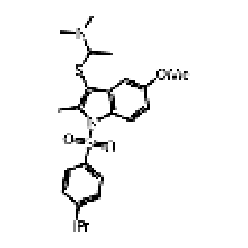 COc1ccc2c(c1)c(SC(C)N(C)C)c(C)n2S(=O)(=O)c1ccc(C(C)C)cc1